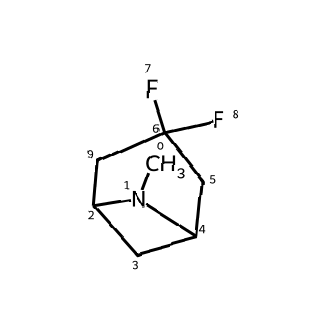 CN1C2CC1CC(F)(F)C2